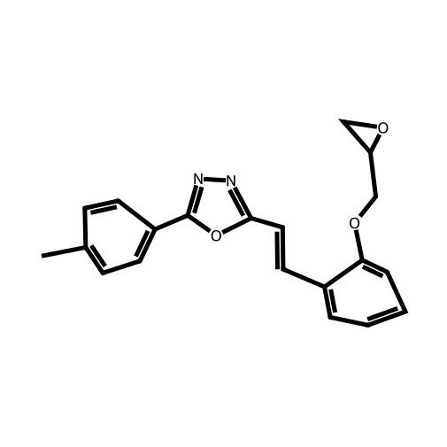 Cc1ccc(-c2nnc(C=Cc3ccccc3OCC3CO3)o2)cc1